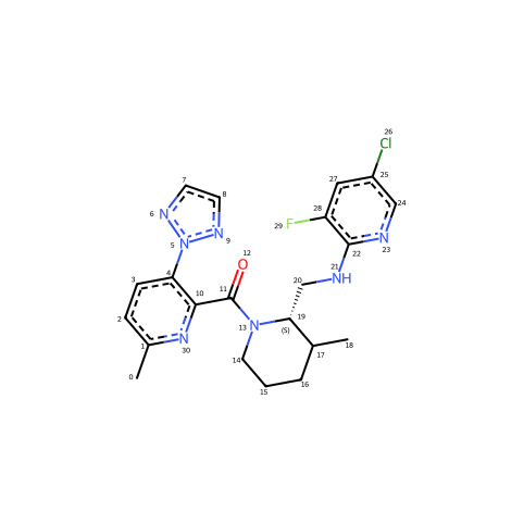 Cc1ccc(-n2nccn2)c(C(=O)N2CCCC(C)[C@H]2CNc2ncc(Cl)cc2F)n1